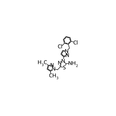 Cc1cc(C)n(CC2=NN(c3ccn(Cc4c(Cl)cccc4Cl)n3)C(N)S2)n1